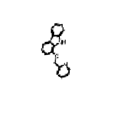 c1ccc(COc2cccc3c2[nH]c2ccccc23)nc1